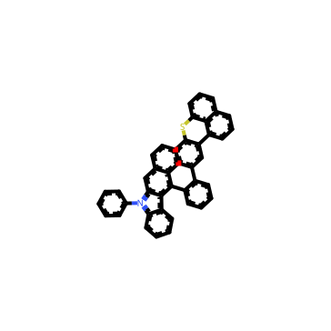 c1ccc(-n2c3ccccc3c3c(-c4ccccc4-c4ccc5c(c4)-c4cccc6cccc(c46)S5)c4ccccc4cc32)cc1